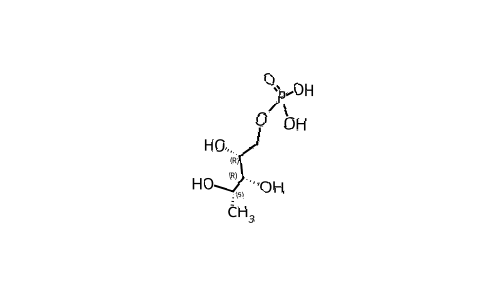 C[C@H](O)[C@@H](O)[C@H](O)COP(=O)(O)O